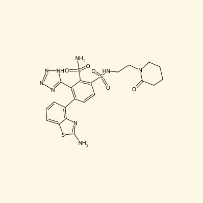 Nc1nc2c(-c3ccc(S(=O)(=O)NCCN4CCCCC4=O)c(S(N)(=O)=O)c3-c3nnn[nH]3)cccc2s1